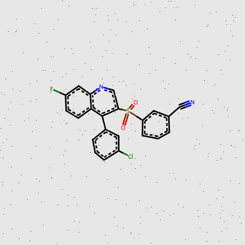 N#Cc1cccc(S(=O)(=O)c2cnc3cc(F)ccc3c2-c2cccc(Cl)c2)c1